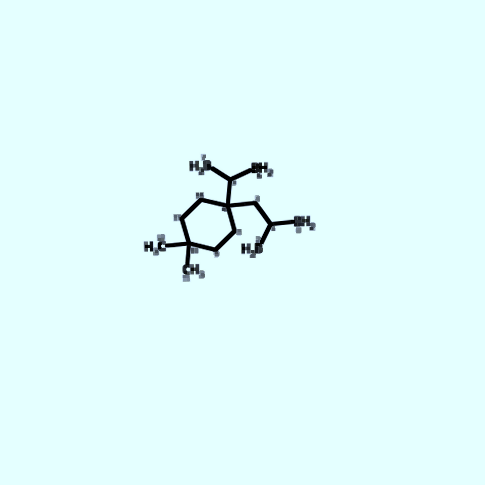 BC(B)CC1(C(B)B)CCC(C)(C)CC1